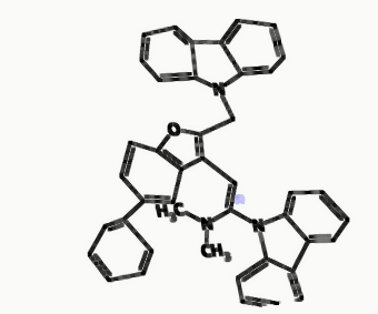 CN(C)/C(=C\c1c(Cn2c3ccccc3c3ccccc32)oc2ccc(-c3ccccc3)cc12)n1c2ccccc2c2ccccc21